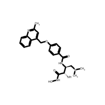 CCC[C@H](C(=O)NO)[C@H](CN(C)C)NC(=O)c1ccc(OCc2cc(C)nc3ccccc23)cc1